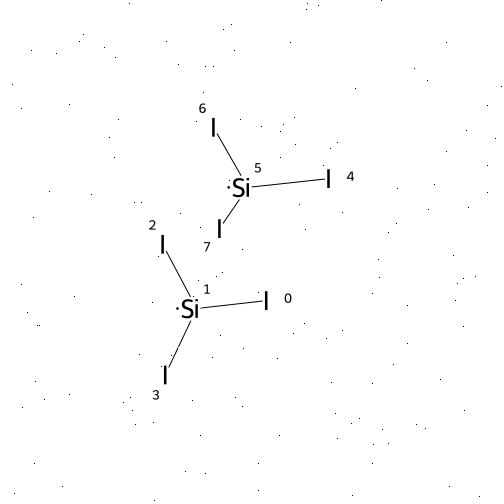 I[Si](I)I.I[Si](I)I